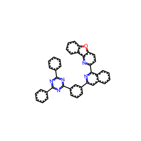 c1ccc(-c2nc(-c3ccccc3)nc(-c3cccc(-c4cc5ccccc5c(-c5ccc6oc7ccccc7c6n5)n4)c3)n2)cc1